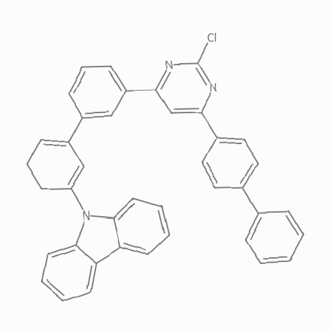 Clc1nc(-c2ccc(-c3ccccc3)cc2)cc(-c2cccc(C3=CCCC(n4c5ccccc5c5ccccc54)=C3)c2)n1